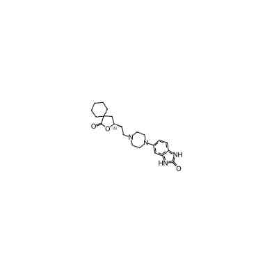 O=C1O[C@H](CCN2CCN(c3ccc4[nH]c(=O)[nH]c4c3)CC2)CC12CCCCC2